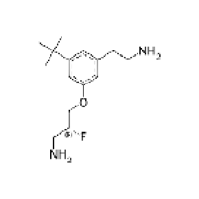 CC(C)(C)c1cc(CCN)cc(OC[C@H](F)CN)c1